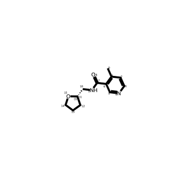 Cc1ccncc1C(=O)NC[C@@H]1CCCO1